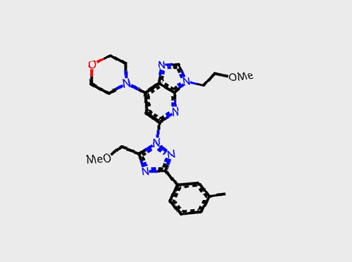 COCCn1cnc2c(N3CCOCC3)cc(-n3nc(-c4cccc(C)c4)nc3COC)nc21